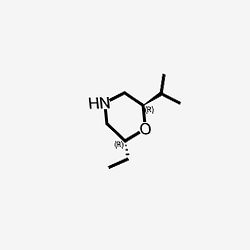 CC[C@@H]1CNC[C@@H](C(C)C)O1